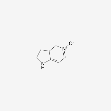 [O-][N+]1=CC=C2NCCC2C1